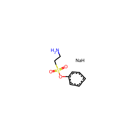 NCCS(=O)(=O)Oc1ccccc1.[NaH]